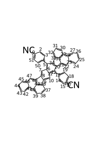 N#Cc1ccc(-c2c3cc4c(cc3c(-c3ccc(C#N)cc3)c3c5cc6ccccc6c6cccc(c23)c65)c2cccc3c5ccccc5cc4c32)cc1